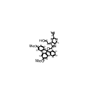 COc1ccc(C(OCc2nc3cnc(C4CC4)nc3n2CCO)(c2ccccc2)c2ccc(OC)cc2)cc1